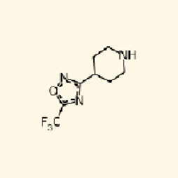 FC(F)(F)c1nc(C2CCNCC2)no1